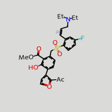 CCN(CC)C/C=C\c1cc(F)ccc1S(=O)(=O)Cc1ccc(-c2ccoc2C(C)=O)c(O)c1C(=O)OC